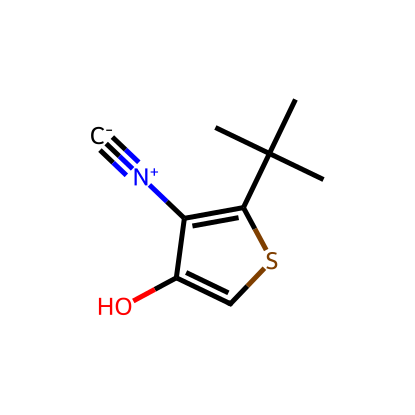 [C-]#[N+]c1c(O)csc1C(C)(C)C